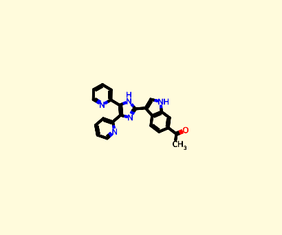 CC(=O)c1ccc2c(-c3nc(-c4ccccn4)c(-c4ccccn4)[nH]3)c[nH]c2c1